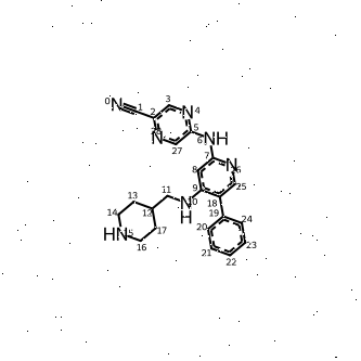 N#Cc1cnc(Nc2cc(NCC3CCNCC3)c(-c3ccccc3)cn2)cn1